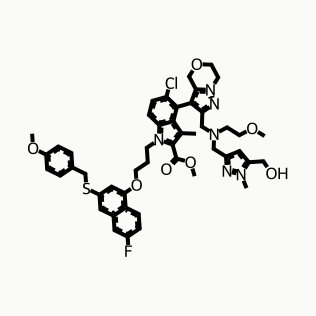 COCCN(Cc1cc(CO)n(C)n1)Cc1nn2c(c1-c1c(Cl)ccc3c1c(C)c(C(=O)OC)n3CCCOc1cc(SCc3ccc(OC)cc3)cc3cc(F)ccc13)COCC2